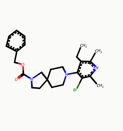 CCc1c(C)nc(C)c(Br)c1N1CCC2(CCN(C(=O)OCc3ccccc3)C2)CC1